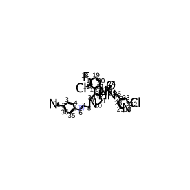 N#Cc1ccc(/C=C/CN2CCc3c(c4c(Cl)c(F)ccc4n3C(=O)NCc3ccnc(Cl)c3)C2)cc1